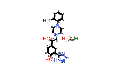 Cc1ccccc1N1CCN(CC(O)c2ccc(O)c(-c3nnn[nH]3)c2)CC1.Cl.O